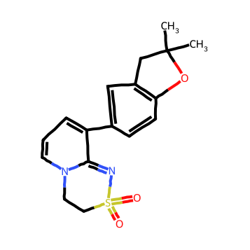 CC1(C)Cc2cc(C3=CC=CN4CCS(=O)(=O)N=C34)ccc2O1